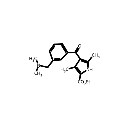 CCOC(=O)c1[nH]c(C)c(C(=O)c2cccc(CN(C)C)c2)c1C